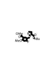 CCCCOC(=O)c1ccnn1Cc1cc(C(=O)OC)c(OC)cc1F